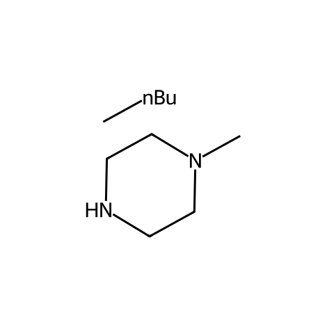 CCCCC.CN1CCNCC1